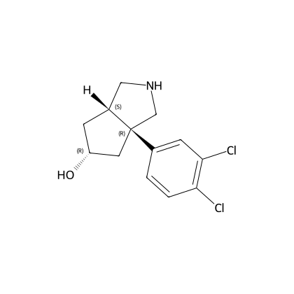 O[C@@H]1C[C@@H]2CNC[C@]2(c2ccc(Cl)c(Cl)c2)C1